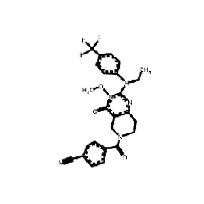 CCN(c1ccc(C(F)(F)F)cc1)c1nc2c(c(=O)n1OC)CN(C(=O)c1ccc(C#N)cc1)CC2